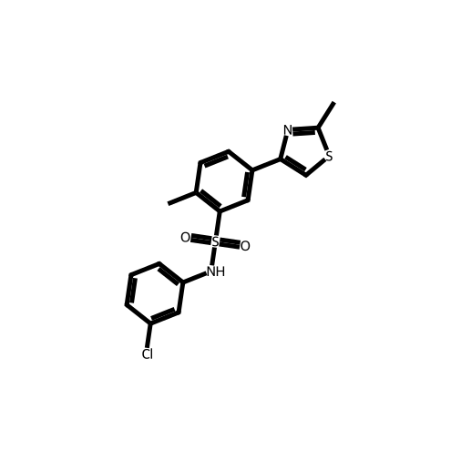 Cc1nc(-c2ccc(C)c(S(=O)(=O)Nc3cccc(Cl)c3)c2)cs1